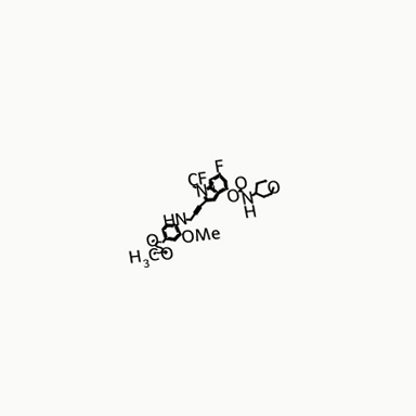 COc1cc(S(C)(=O)=O)ccc1NCC#Cc1cc2c(OC(=O)NC3CCOCC3)cc(F)cc2n1CC(F)(F)F